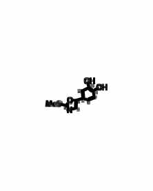 CSc1ncc(-c2ccc(O)c(O)c2)o1